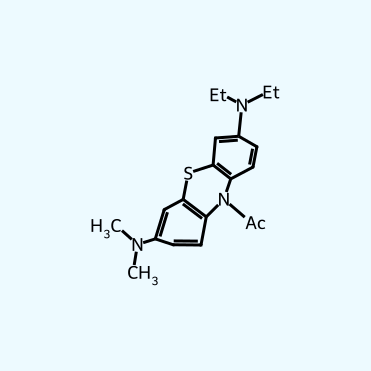 CCN(CC)c1ccc2c(c1)Sc1cc(N(C)C)ccc1N2C(C)=O